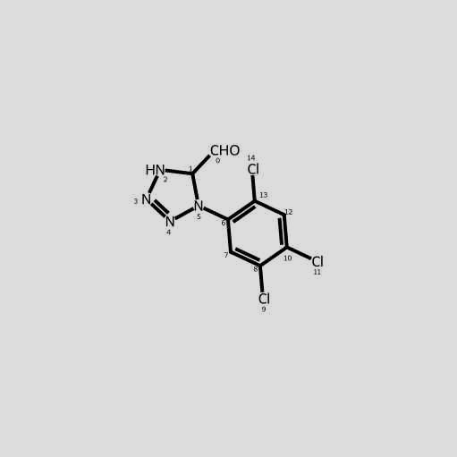 O=CC1NN=NN1c1cc(Cl)c(Cl)cc1Cl